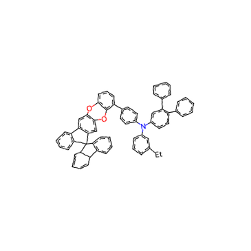 CCc1cccc(N(c2ccc(-c3cccc4c3Oc3cc5c(cc3O4)-c3ccccc3C53c4ccccc4C4C=CC=CC43)cc2)c2ccc(-c3ccccc3)c(-c3ccccc3)c2)c1